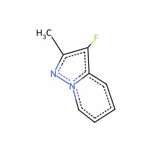 Cc1nn2ccccc2c1F